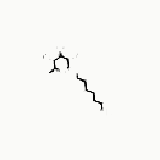 CCCCCCCCCCCCCCCCO[C@@H]1OC(C)[C@H](O)C(O)[C@@H]1O